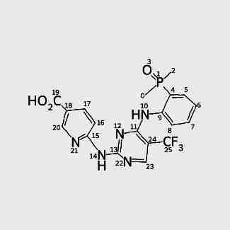 CP(C)(=O)c1ccccc1Nc1nc(Nc2ccc(C(=O)O)cn2)ncc1C(F)(F)F